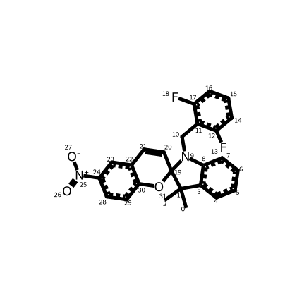 CC1(C)c2ccccc2N(Cc2c(F)cccc2F)C12C=Cc1cc([N+](=O)[O-])ccc1O2